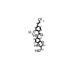 Cc1cc(/C=C/C(F)(F)F)ccc1C(=O)Nc1ccc2c(c1)OCC(CO)N2